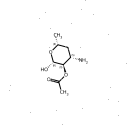 CC(=O)O[C@H]1[C@H](O)O[C@H](C)C[C@@H]1N